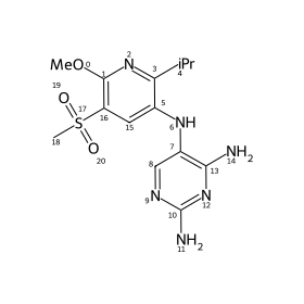 COc1nc(C(C)C)c(Nc2cnc(N)nc2N)cc1S(C)(=O)=O